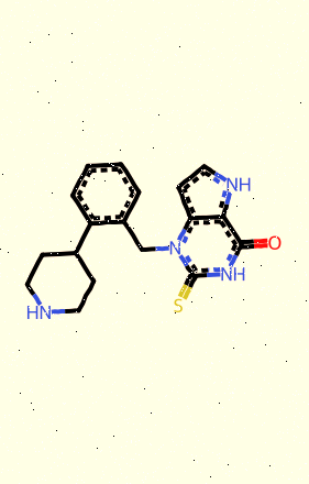 O=c1[nH]c(=S)n(Cc2ccccc2C2CCNCC2)c2cc[nH]c12